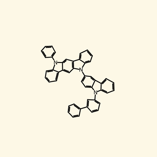 c1ccc(-c2cccc(-n3c4ccccc4c4cc(-n5c6ccccc6c6cc7c(cc65)c5ccccc5n7-c5ccccc5)ccc43)c2)cc1